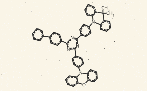 CC1(C)c2ccccc2N(c2ccc(-c3nc(-c4ccc(-c5ccccc5)cc4)nc(-c4ccc(N5c6ccccc6Oc6ccccc65)cc4)n3)cc2)c2ccccc21